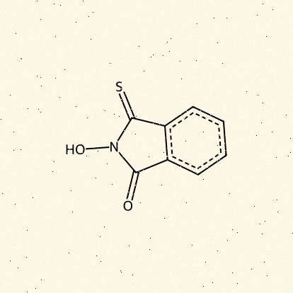 O=C1c2ccccc2C(=S)N1O